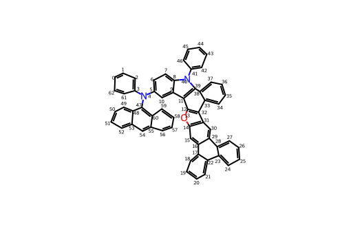 c1ccc(N(c2ccc3c(c2)c2c4oc5cc6c7ccccc7c7ccccc7c6cc5c4c4ccccc4c2n3-c2ccccc2)c2c3ccccc3cc3ccccc23)cc1